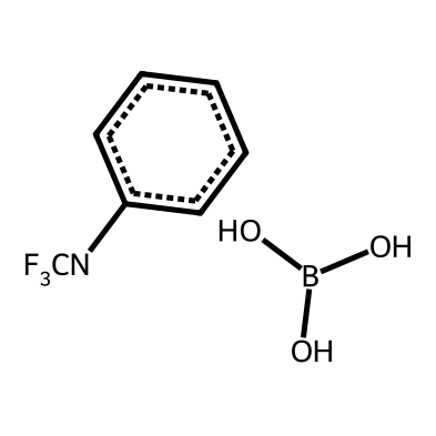 FC(F)(F)Nc1ccccc1.OB(O)O